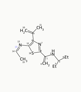 C=C(NC(CC)CC)c1nc(C(=C)C)c(/N=C\C)s1